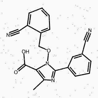 Cc1nc(-c2cccc(C#N)c2)n(OCc2ccccc2C#N)c1C(=O)O